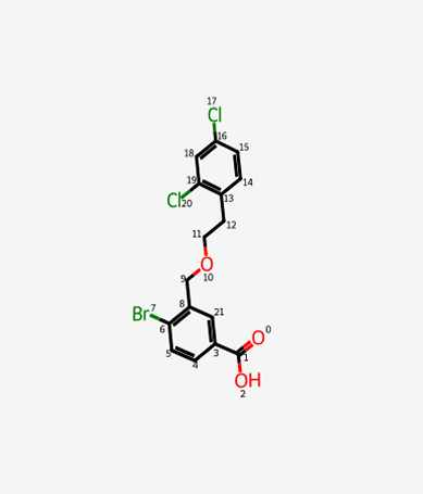 O=C(O)c1ccc(Br)c(COCCc2ccc(Cl)cc2Cl)c1